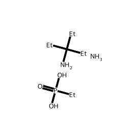 CCC(N)(CC)CC.CCP(=O)(O)O.N